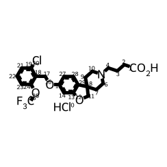 Cl.O=C(O)CCCN1CCC2(CC1)COc1cc(OCc3c(Cl)cccc3OC(F)(F)F)ccc12